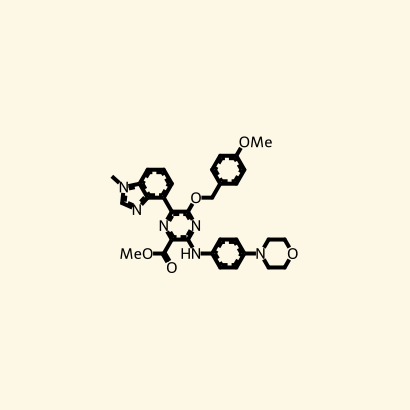 COC(=O)c1nc(-c2cccc3c2ncn3C)c(OCc2ccc(OC)cc2)nc1Nc1ccc(N2CCOCC2)cc1